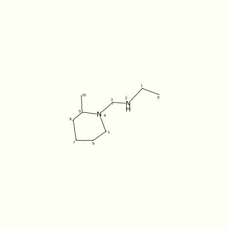 CCN[CH]N1CCCCC1C